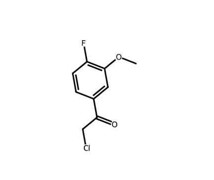 COc1cc(C(=O)CCl)ccc1F